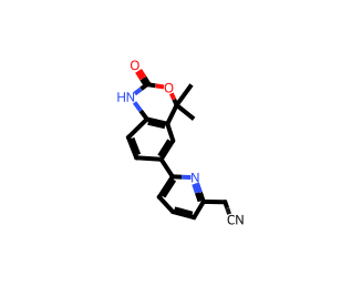 CC1(C)OC(=O)Nc2ccc(-c3cccc(CC#N)n3)cc21